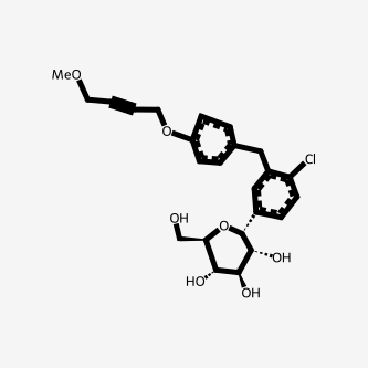 COCC#CCOc1ccc(Cc2cc([C@H]3O[C@H](CO)[C@@H](O)[C@H](O)[C@H]3O)ccc2Cl)cc1